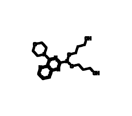 OCCCON(OCCCO)c1nc(N2CCOCC2)c2ncccc2n1